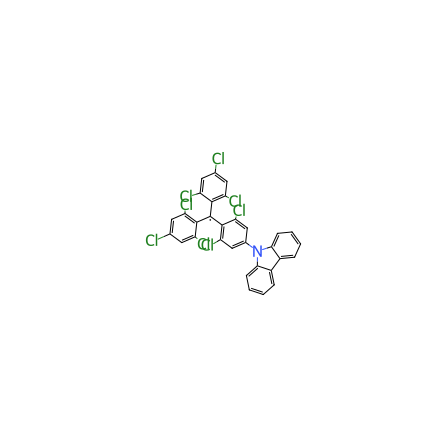 Clc1cc(Cl)c([C](c2c(Cl)cc(Cl)cc2Cl)c2c(Cl)cc(-n3c4ccccc4c4ccccc43)cc2Cl)c(Cl)c1